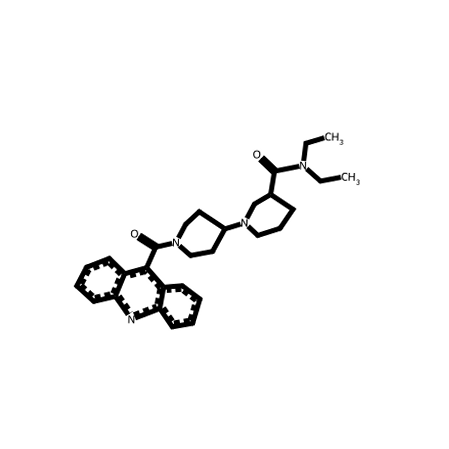 CCN(CC)C(=O)C1CCCN(C2CCN(C(=O)c3c4ccccc4nc4ccccc34)CC2)C1